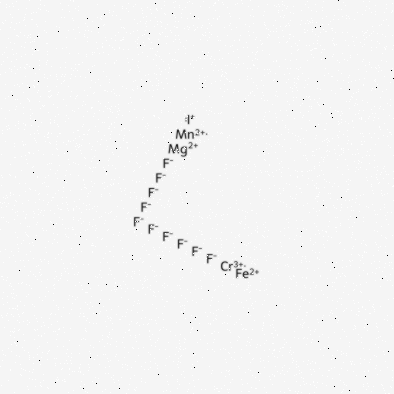 [Cr+3].[F-].[F-].[F-].[F-].[F-].[F-].[F-].[F-].[F-].[F-].[Fe+2].[I+].[Mg+2].[Mn+2]